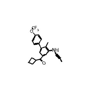 CC#CNc1cc(C(=O)C2CCC2)cc(-c2ccc(OC(F)(F)F)cc2)c1C